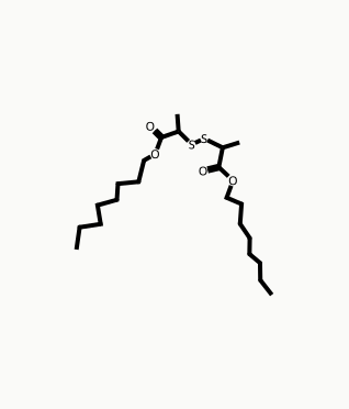 CCCCCCCCOC(=O)C(C)SSC(C)C(=O)OCCCCCCCC